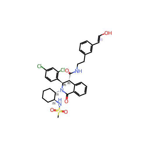 CS(=O)(=O)N[C@H]1CCCC[C@@H]1N1C(=O)c2ccccc2[C@@H](C(=O)NCCc2cccc(/C=C/O)c2)[C@@H]1c1ccc(Cl)cc1Cl